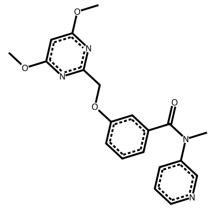 COc1cc(OC)nc(COc2cccc(C(=O)N(C)c3cccnc3)c2)n1